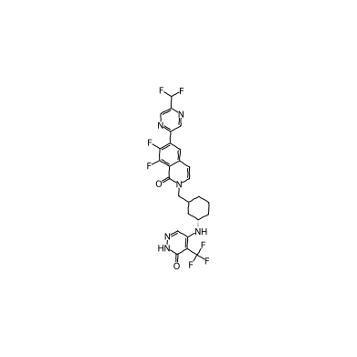 O=c1[nH]ncc(N[C@H]2CCCC(Cn3ccc4cc(-c5cnc(C(F)F)cn5)c(F)c(F)c4c3=O)C2)c1C(F)(F)F